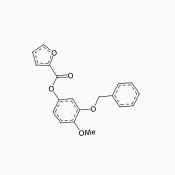 COc1ccc(OC(=O)c2ccco2)cc1OCc1ccccc1